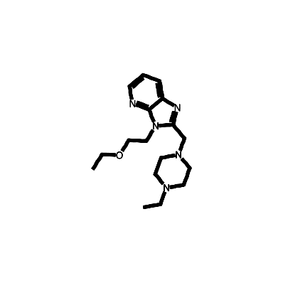 CCOCCn1c(CN2CCN(CC)CC2)nc2cccnc21